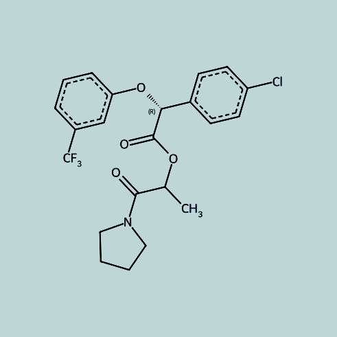 CC(OC(=O)[C@H](Oc1cccc(C(F)(F)F)c1)c1ccc(Cl)cc1)C(=O)N1CCCC1